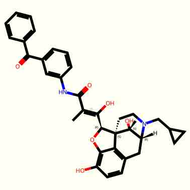 C/C(C(=O)Nc1cccc(C(=O)c2ccccc2)c1)=C(/O)[C@@H]1Oc2c(O)ccc3c2[C@@]12CCN(CC1CC1)[C@H](C3)[C@@]2(C)O